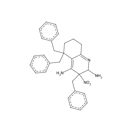 NC1=C2C(=NC(N)C1(Cc1ccccc1)[N+](=O)[O-])CCCC2(Cc1ccccc1)Cc1ccccc1